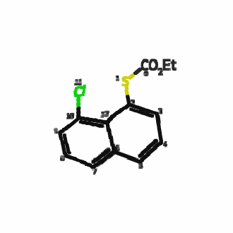 CCOC(=O)Sc1cccc2cccc(Cl)c12